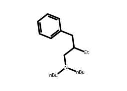 CCCCN(CCCC)CC(CC)Cc1ccccc1